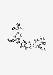 CCNC(=O)c1ccc(Nc2nc3ccc(-c4cc(C)c(O)c(C)c4)cn3n2)c(OC)c1